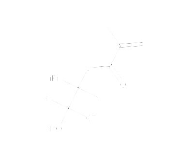 C=C(C)C(=O)OC(C)(C(C)C)C(O)(C(F)(F)F)C(F)(F)F